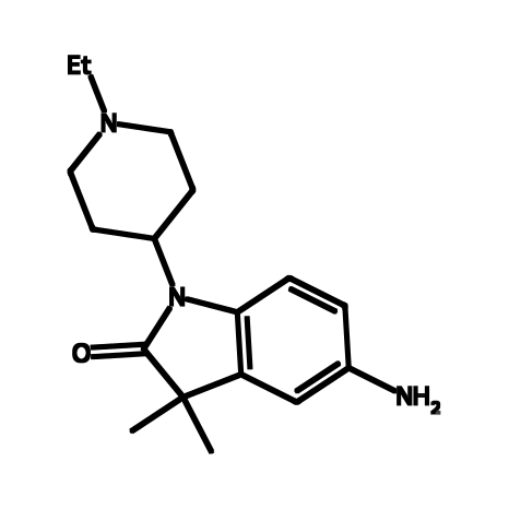 CCN1CCC(N2C(=O)C(C)(C)c3cc(N)ccc32)CC1